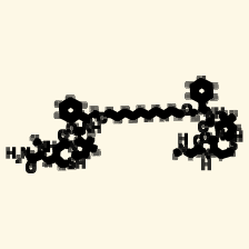 CNCC(=O)N[C@H]1CCS[C@H]2CC(C)(C)[C@@H](C(=O)N[C@H](COCCCCCCCCCCOC[C@@H](NC(=O)[C@H]3N4C(=O)CC(C[C@H](NC)C(N)=O)CS[C@H]4CC3(C)C)c3ccccc3)c3ccccc3)N2C1=O